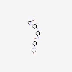 NC(=O)c1cccn1-c1ccc(Nc2ccc(NC(=O)c3ccc(N4CCC(O)CC4)cc3)cc2)c(F)c1